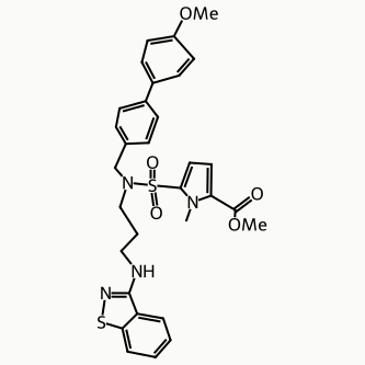 COC(=O)c1ccc(S(=O)(=O)N(CCCNc2nsc3ccccc23)Cc2ccc(-c3ccc(OC)cc3)cc2)n1C